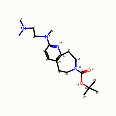 CN(C)CCN(C)c1ccc2c(n1)CCN(C(=O)OC(C)(C)C)CC2